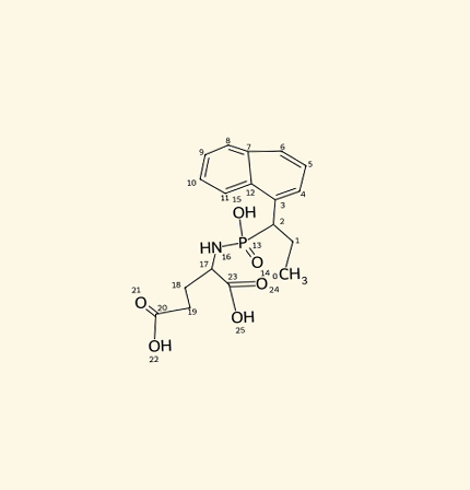 CCC(c1cccc2ccccc12)P(=O)(O)NC(CCC(=O)O)C(=O)O